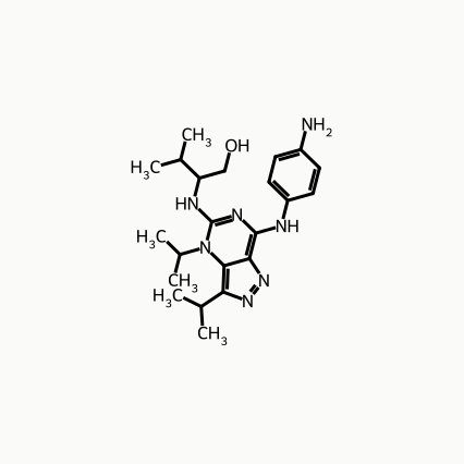 CC(C)c1nnc2c(Nc3ccc(N)cc3)nc(NC(CO)C(C)C)n(C(C)C)c1-2